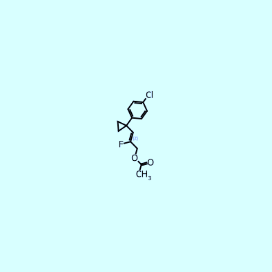 CC(=O)OC/C(F)=C/C1(c2ccc(Cl)cc2)CC1